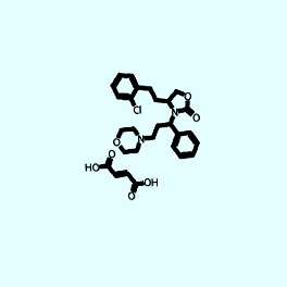 O=C(O)C=CC(=O)O.O=C1OCC(CCc2ccccc2Cl)N1C(CCN1CCOCC1)c1ccccc1